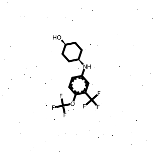 O[C@H]1CC[C@@H](Nc2ccc(OC(F)(F)F)c(C(F)(F)F)c2)CC1